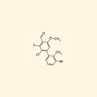 COc1cc(-c2cccc(Br)c2C)c(Cl)c(F)c1C=O